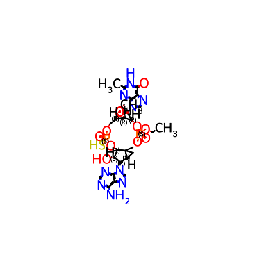 CCO[P@@]1(=O)OCC23C[C@@H]2[C@@H](n2cnc4c(N)ncnc42)[C@H](O)[C@@H]3O[P@@](=O)(S)OC[C@H]2O[C@@H](n3cnc4c(=O)[nH]c(C)nc43)[C@H](O1)[C@@H]2OC